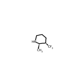 C[C@H]1NCCC[C@H]1C(F)(F)F